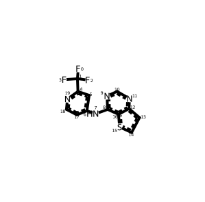 FC(F)(F)c1cc(Nc2ncnc3ccsc23)ccn1